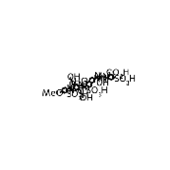 COc1ccc(/N=N/c2cc(OCCO)c(/N=N/c3c(S(=O)(=O)O)cc4cc(-n5nc(C)c(/N=N/c6ccc(S(=O)(=O)O)cc6C(=O)O)c5O)ccc4c3O)cc2OCCO)c(S(=O)(=O)O)c1